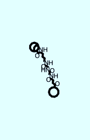 O=C(CCC(=O)C1CCCCCCCCCC1)NCC(=O)NCC(=O)NCCCCC1NC2C3CCCCCCC(CC3)C2C1=O